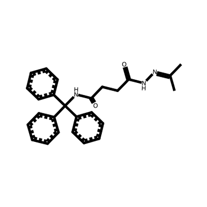 CC(C)=NNC(=O)CCC(=O)NC(c1ccccc1)(c1ccccc1)c1ccccc1